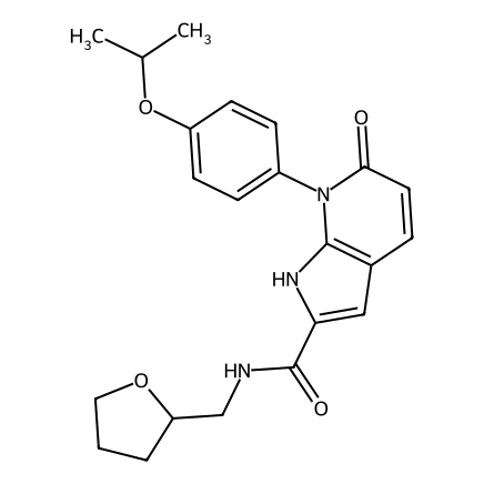 CC(C)Oc1ccc(-n2c(=O)ccc3cc(C(=O)NCC4CCCO4)[nH]c32)cc1